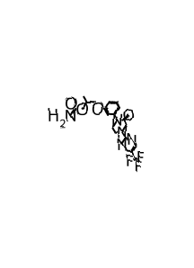 CC(COc1cccc(N2CCN(c3ncc(C(F)(F)F)cn3)CC2=O)c1)OC(N)=O